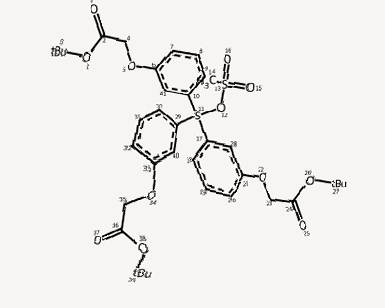 CC(C)(C)OC(=O)COc1cccc(S(OS(C)(=O)=O)(c2cccc(OCC(=O)OC(C)(C)C)c2)c2cccc(OCC(=O)OC(C)(C)C)c2)c1